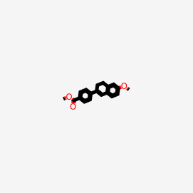 COC(=O)c1ccc(C2=Cc3ccc(OC)cc3CC2)cc1